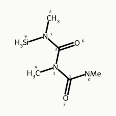 CNC(=O)N(C)C(=O)N(C)[SiH3]